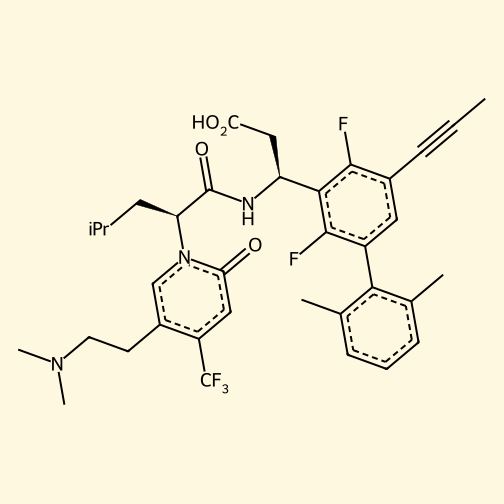 CC#Cc1cc(-c2c(C)cccc2C)c(F)c([C@H](CC(=O)O)NC(=O)[C@H](CC(C)C)n2cc(CCN(C)C)c(C(F)(F)F)cc2=O)c1F